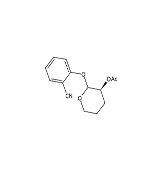 CC(=O)O[C@H]1CCCOC1Oc1ccccc1C#N